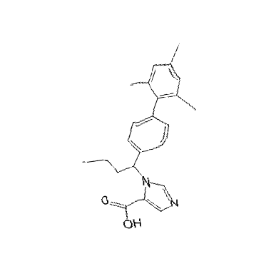 CCCC(c1ccc(-c2c(C)cc(C)cc2C)cc1)n1cncc1C(=O)O